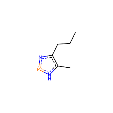 CCCc1np[nH]c1C